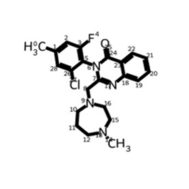 Cc1cc(F)c(-n2c(CN3CCCN(C)CC3)nc3ccccc3c2=O)c(Cl)c1